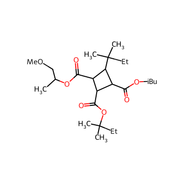 CCC(C)OC(=O)C1C(C(=O)OC(C)(C)CC)C(C(=O)OC(C)COC)C1C(C)(C)CC